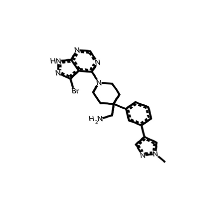 Cn1cc(-c2cccc(C3(CN)CCN(c4ncnc5[nH]nc(Br)c45)CC3)c2)cn1